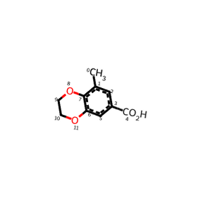 Cc1cc(C(=O)O)cc2c1OCCO2